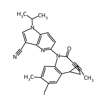 CC#CC(=O)N(c1ccc2c(n1)c(C#N)cn2C(C)C)c1cc(C)c(I)cc1C1CC1